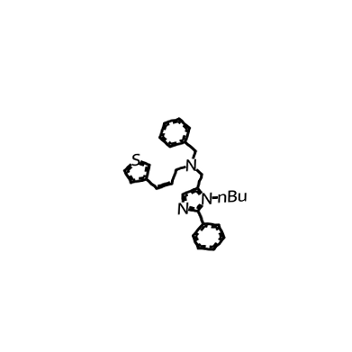 CCCCn1c(CN(C/C=C\c2ccsc2)Cc2ccccc2)cnc1-c1ccccc1